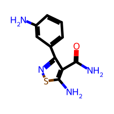 NC(=O)c1c(-c2cccc(N)c2)nsc1N